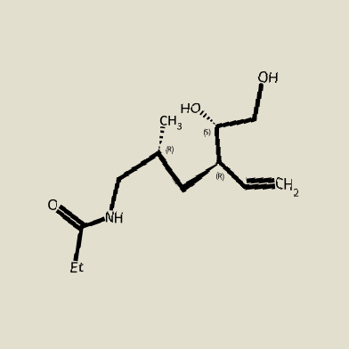 C=C[C@@H](C[C@@H](C)CNC(=O)CC)[C@H](O)CO